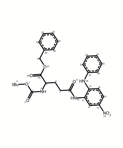 CC(C)(C)OC(=O)NC(CCC(=O)Nc1cc([N+](=O)[O-])ccc1Nc1ccccc1)C(=O)OCc1ccccc1